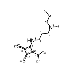 CCCN(C)CCCNc1c(C(C)C)c(=S)c1=S